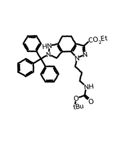 CCOC(=O)c1nn(CCCNC(=O)OC(C)(C)C)c2c1CCC1=C2CN(C(c2ccccc2)(c2ccccc2)c2ccccc2)N1